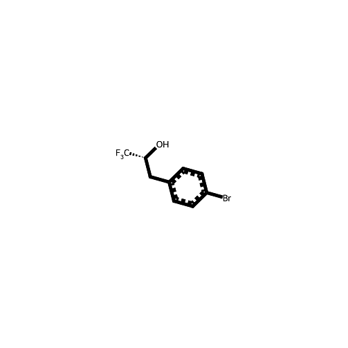 O[C@H](Cc1ccc(Br)cc1)C(F)(F)F